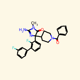 CN1C(=O)C(c2cccc(-c3cccc(F)c3)c2F)(C2CCN(C(=O)c3ccccc3)CC2)N=C1N